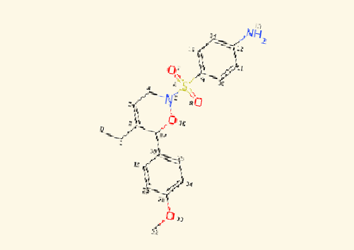 CCC1=CCN(S(=O)(=O)c2ccc(N)cc2)OC1c1ccc(OC)cc1